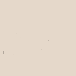 CCc1ncccc1-c1ccccc1N1Cc2ccc(C(N)OC(=N)C(F)F)cc2C1=O